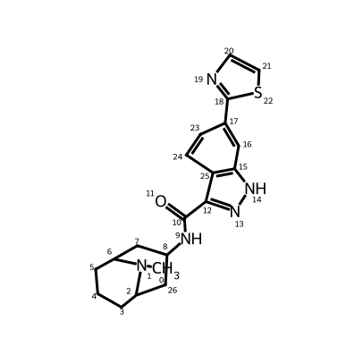 CN1C2CCCC1CC(NC(=O)c1n[nH]c3cc(-c4nccs4)ccc13)C2